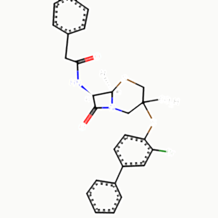 O=C(Cc1ccccc1)N[C@@H]1C(=O)N2CC(Sc3ccc(-c4ccccc4)cc3Br)(C(=O)O)CS[C@H]12